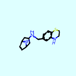 c1cc2c(cc1CNC1CC3CCC(C1)N3)NCCS2